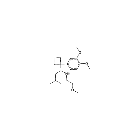 COCCNC(CC(C)C)C1(c2ccc(OC)c(OC)c2)CCC1